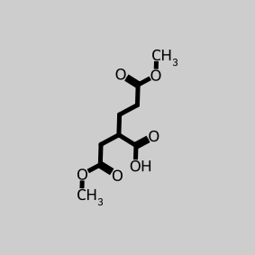 COC(=O)CCC(CC(=O)OC)C(=O)O